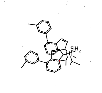 Cc1cccc(-c2cccc3c2C=C[CH]3[Hf]([CH3])([CH3])(=[SiH2])([CH](C)C)([CH](C)C)[CH]2C=Cc3c(-c4cccc(C)c4)cccc32)c1